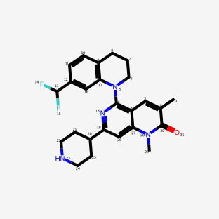 Cc1cc2c(N3CCCc4ccc(C(F)F)cc43)nc(C3CCNCC3)cc2n(C)c1=O